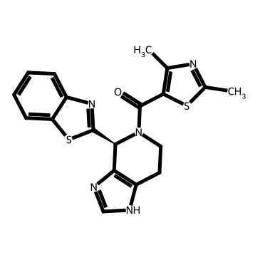 Cc1nc(C)c(C(=O)N2CCc3[nH]cnc3[C@H]2c2nc3ccccc3s2)s1